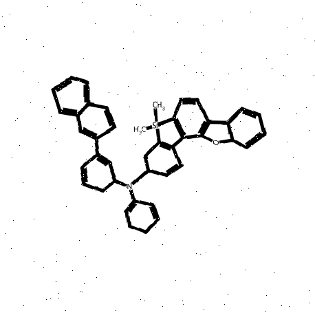 C[Si]1(C)C2=C(C=CC(N(C3=CCCC=C3)C3C=C(c4ccc5ccccc5c4)C=CC3)C2)c2c1ccc1c2OC2C=CC=CC12